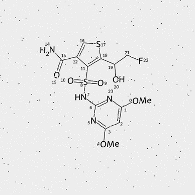 COc1cc(OC)nc(NS(=O)(=O)c2c(C(N)=O)csc2C(O)CF)n1